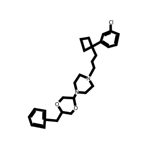 Clc1cccc(C2(CCCN3CCN(C4COC(Cc5ccccc5)CO4)CC3)CCC2)c1